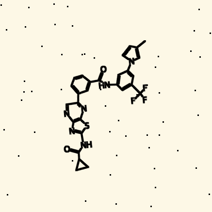 Cc1ccn(-c2cc(NC(=O)c3cccc(-c4cnc5nc(NC(=O)C6CC6)sc5n4)c3)cc(C(F)(F)F)c2)c1